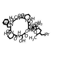 CC(C)CC1CCC(O)(C(C)(O)C(=O)NC2C(=O)N3NCCCC3C(=O)N(O)C(C)C(=O)N(C)C(Cc3ccccc3)C(=O)N3NCCCC3C(=O)NC(CO)C(=O)OC2C(C)C)OC1C